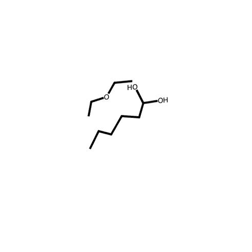 CCCCCC(O)O.CCOCC